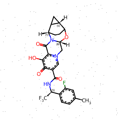 Cc1ccc([C@H](NC(=O)c2cn3c(c(O)c2=O)C(=O)N2[C@@H](C3)OC3CC[C@H]2C2C[C@H]32)C(F)(F)F)c(F)c1